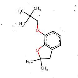 CC(C)(C)COc1cccc2c1OC(C)(C)C2